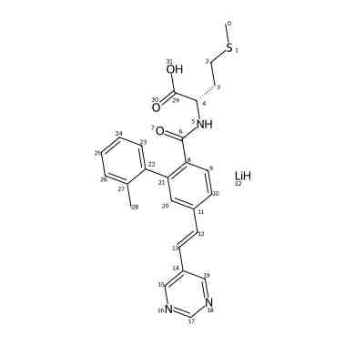 CSCC[C@H](NC(=O)c1ccc(C=Cc2cncnc2)cc1-c1ccccc1C)C(=O)O.[LiH]